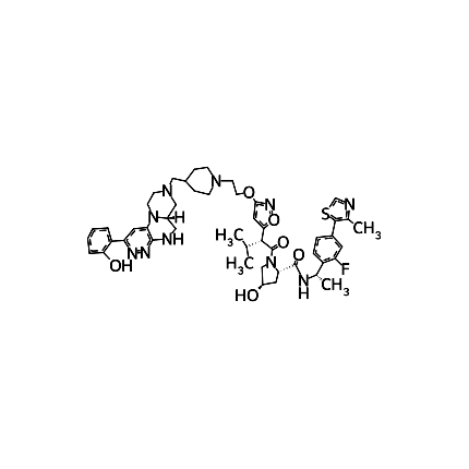 Cc1ncsc1-c1ccc([C@H](C)NC(=O)[C@@H]2C[C@@H](O)CN2C(=O)[C@@H](c2cc(OCCN3CCC(CN4CCN5c6cc(-c7ccccc7O)nnc6NC[C@H]5C4)CC3)no2)C(C)C)c(F)c1